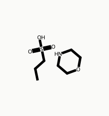 C1COCCN1.CCCS(=O)(=O)O